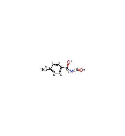 CC(C)(C)c1ccc(C(=O)N=C=O)cc1